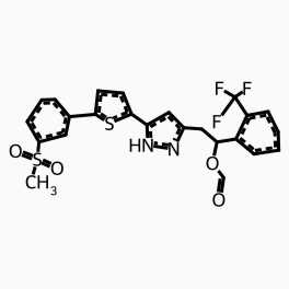 CS(=O)(=O)c1cccc(-c2ccc(-c3cc(CC(OC=O)c4ccccc4C(F)(F)F)n[nH]3)s2)c1